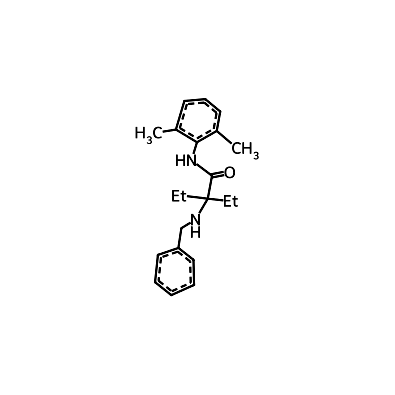 CCC(CC)(NCc1ccccc1)C(=O)Nc1c(C)cccc1C